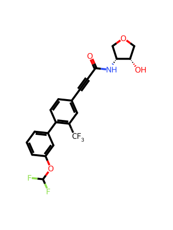 O=C(C#Cc1ccc(-c2cccc(OC(F)F)c2)c(C(F)(F)F)c1)N[C@@H]1COC[C@@H]1O